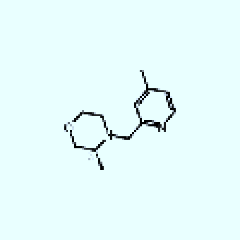 Cc1ccnc(CN2CCOC[C@@H]2C)c1